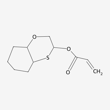 C=CC(=O)OC1COC2CCCCC2S1